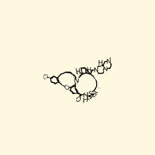 C[C@@H]1[C@@H](C)CCCC2(CN3CCN4CCN(C)C[C@H]4C3)C3C[C@@H](CN4CCCCc5cc(Cl)ccc5COc5ccc(cc54)C(=O)NS1(=O)=O)[C@@H]32